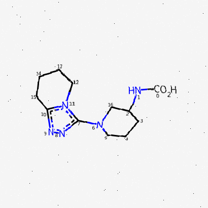 O=C(O)NC1CCCN(c2nnc3n2CCCC3)C1